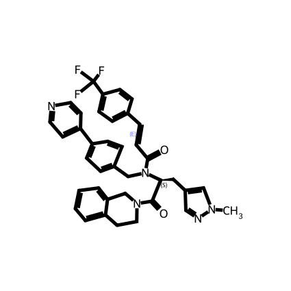 Cn1cc(C[C@@H](C(=O)N2CCc3ccccc3C2)N(Cc2ccc(-c3ccncc3)cc2)C(=O)/C=C/c2ccc(C(F)(F)F)cc2)cn1